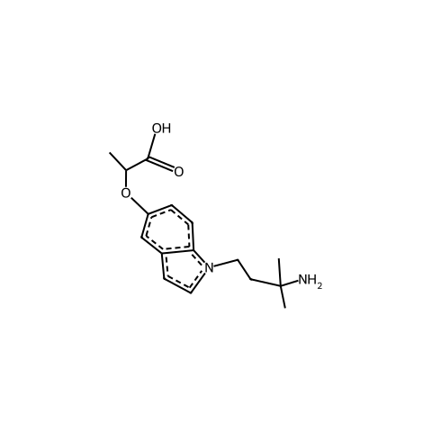 CC(Oc1ccc2c(ccn2CCC(C)(C)N)c1)C(=O)O